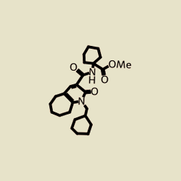 COC(=O)C1(NC(=O)c2cc3c(n(CC4CCCCC4)c2=O)CCCCC3)CCCCC1